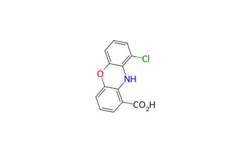 O=C(O)c1cccc2c1Nc1c(Cl)cccc1O2